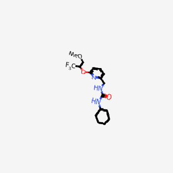 COCC(Oc1cccc(CNC(=O)NC2CCCCC2)n1)C(F)(F)F